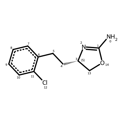 NC1=N[C@@H](CCc2ccccc2Cl)CO1